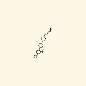 FC/C=C/CC1CCC(C2CCC(c3ccc(Cl)cc3F)CC2)CC1